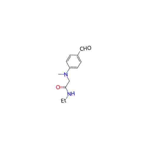 CCNC(=O)CN(C)c1ccc(C=O)cc1